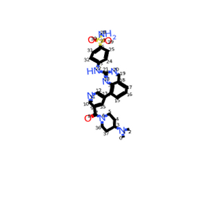 CN(C)C1CCN(C(=O)c2cncc(-c3cccc4cnc(Nc5ccc(S(N)(=O)=O)cc5)nc34)c2)CC1